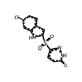 O=c1ccc(S(=O)(=O)c2cc3ccc(Cl)cc3[nH]2)n[nH]1